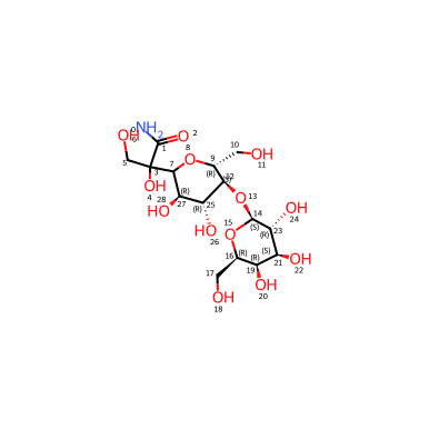 NC(=O)C(O)(CO)C1O[C@H](CO)[C@@H](O[C@@H]2O[C@H](CO)[C@H](O)[C@H](O)[C@H]2O)[C@H](O)[C@H]1O